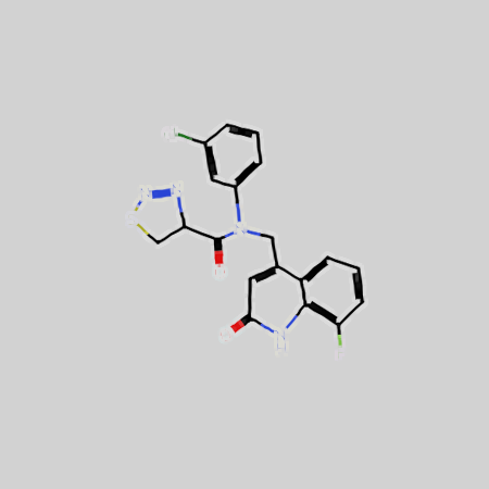 O=C(C1CSN=N1)N(Cc1cc(=O)[nH]c2c(F)cccc12)c1cccc(Cl)c1